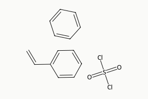 C=Cc1ccccc1.O=S(=O)(Cl)Cl.c1ccccc1